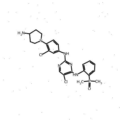 CP(C)(=O)c1ccccc1Nc1nc(Nc2ccc(N3CCC(N)CC3)c(Cl)c2)ncc1Cl